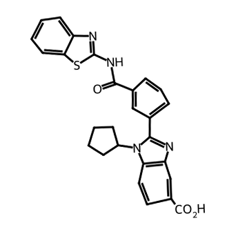 O=C(O)c1ccc2c(c1)nc(-c1cccc(C(=O)Nc3nc4ccccc4s3)c1)n2C1CCCC1